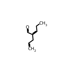 C=CCC(C=O)=CCC